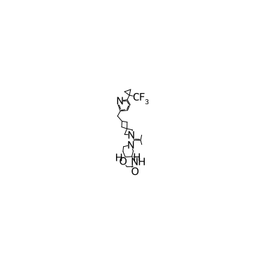 CC(C)=C(N1CC[C@@H]2OCC(=O)N[C@@H]2C1)N1CC2(CC(Cc3ccc(C4(C(F)(F)F)CC4)nc3)C2)C1